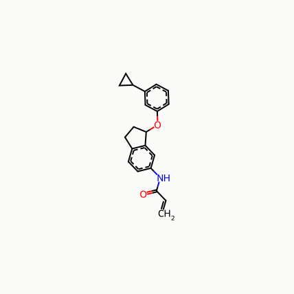 C=CC(=O)Nc1ccc2c(c1)C(Oc1cccc(C3CC3)c1)CC2